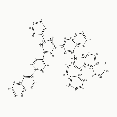 c1ccc(-c2nc(-c3ccc(-c4ccc5ccccc5c4)cc3)nc(-c3cc(-n4c5ccc6ccccc6c5c5c6ccccc6ccc54)c4ccccc4c3)n2)cc1